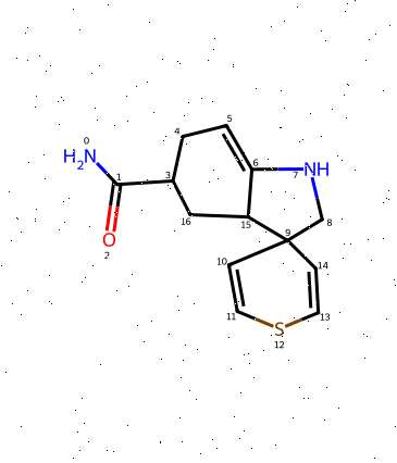 NC(=O)C1CC=C2NCC3(C=CSC=C3)C2C1